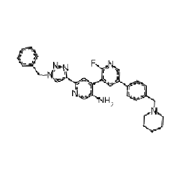 Nc1cnc(-c2cn(Cc3ccccc3)nn2)cc1-c1cc(-c2ccc(CN3CCCCC3)cc2)cnc1F